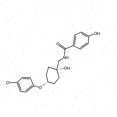 O=C(NC[C@]1(O)CC[C@@H](Oc2ccc(Cl)cc2)CC1)c1ccc(O)cc1